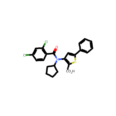 O=C(O)c1sc(-c2ccccc2)cc1N(C(=O)c1ccc(Cl)cc1Cl)C1CCCC1